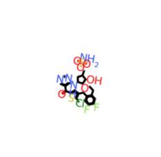 NS(=O)(=O)OCC1C[C@@H](Nc2ncncc2C(=O)c2cc(C3OCCc4cc(F)c(F)cc43)c(Cl)s2)C[C@@H]1O